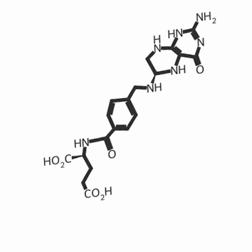 Nc1nc(=O)c2c([nH]1)NC[C@H](NCc1ccc(C(=O)N[C@@H](CCC(=O)O)C(=O)O)cc1)N2